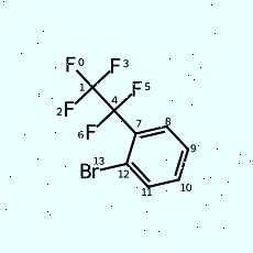 FC(F)(F)C(F)(F)c1ccccc1Br